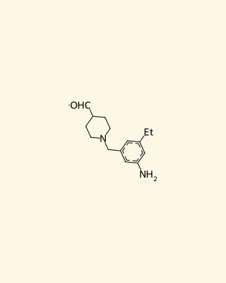 CCc1cc(N)cc(CN2CCC([C]=O)CC2)c1